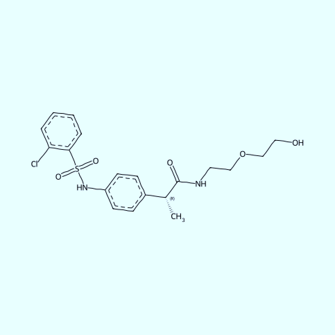 C[C@@H](C(=O)NCCOCCO)c1ccc(NS(=O)(=O)c2ccccc2Cl)cc1